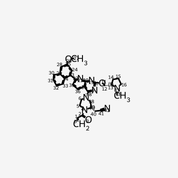 C=CC(=O)N1CCN(c2nc(OC[C@@H]3CCCN3C)nc3nc(-c4cc(OC)cc5ccccc45)ccc23)C[C@@H]1CC#N